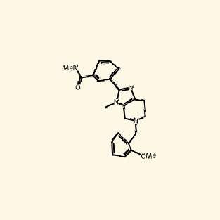 CNC(=O)c1cccc(-c2nc3c(n2C)CN(Cc2ccccc2OC)CC3)c1